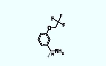 C[C@@H](N)c1cccc(OCC(F)(F)F)c1